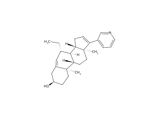 CC[C@H]1C=C2C[C@H](O)CC[C@]2(C)[C@H]2CC[C@]3(C)C(c4cccnc4)=CC[C@H]3[C@H]12